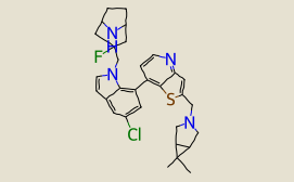 CC1(C)C2CN(Cc3cc4nccc(-c5cc(Cl)cc6ccn(CC7(F)CC8CCC(C7)N8)c56)c4s3)CC21